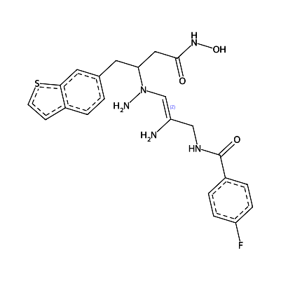 N/C(=C\N(N)C(CC(=O)NO)Cc1ccc2ccsc2c1)CNC(=O)c1ccc(F)cc1